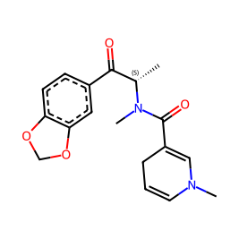 C[C@@H](C(=O)c1ccc2c(c1)OCO2)N(C)C(=O)C1=CN(C)C=CC1